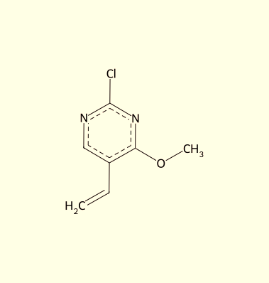 C=Cc1cnc(Cl)nc1OC